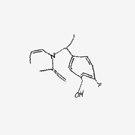 C=C(C)N(/C=C\C)C(C)c1ccc(F)c(O)c1